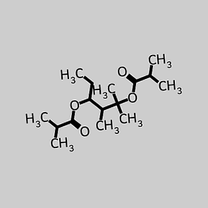 CCC(OC(=O)C(C)C)C(C)C(C)(C)OC(=O)C(C)C